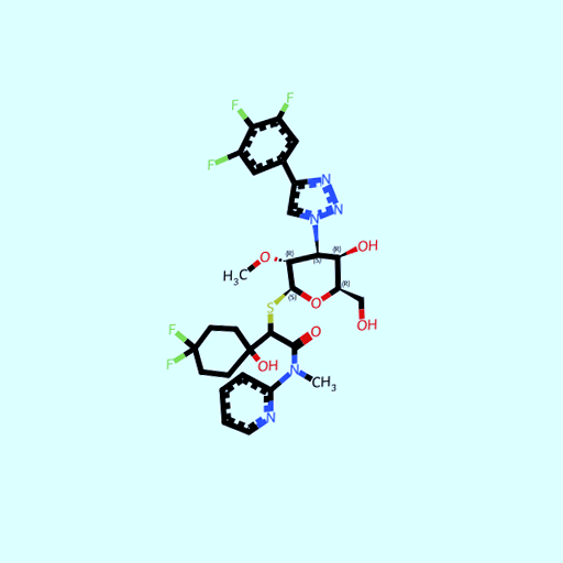 CO[C@@H]1[C@@H](n2cc(-c3cc(F)c(F)c(F)c3)nn2)[C@@H](O)[C@@H](CO)O[C@H]1SC(C(=O)N(C)c1ccccn1)C1(O)CCC(F)(F)CC1